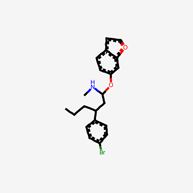 CCCC(CC(NC)Oc1ccc2ccoc2c1)c1ccc(Br)cc1